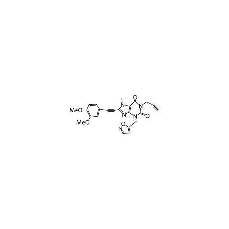 C#CCn1c(=O)c2c(nc(C#Cc3ccc(OC)c(OC)c3)n2C)n(Cc2ccno2)c1=O